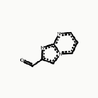 O=Cc1cn2cccnc2n1